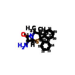 CC1N2C(=O)C(N)[C@H]2SC(c2ccccc2)(c2ccccc2)C1(C)C(=O)O